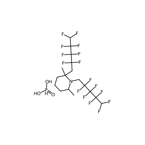 CC1CCCC(C)(CC(F)(F)C(F)(F)C(F)(F)C(F)F)N1CC(F)(F)C(F)(F)C(F)(F)C(F)F.O=[PH](O)O